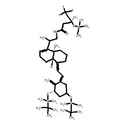 C=C1/C(=C\C=C2/CCC[C@]3(C)C(C(C)CNC(=O)C[C@](C)(O[Si](C)(C)C)C(F)(F)F)=CCC[C@@H]23)CC(O[Si](C)(C)C(C)(C)C)C[C@@H]1O[Si](C)(C)C(C)(C)C